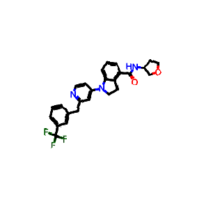 O=C(NC1CCOC1)c1cccc2c1CCN2c1ccnc(Cc2cccc(C(F)(F)F)c2)c1